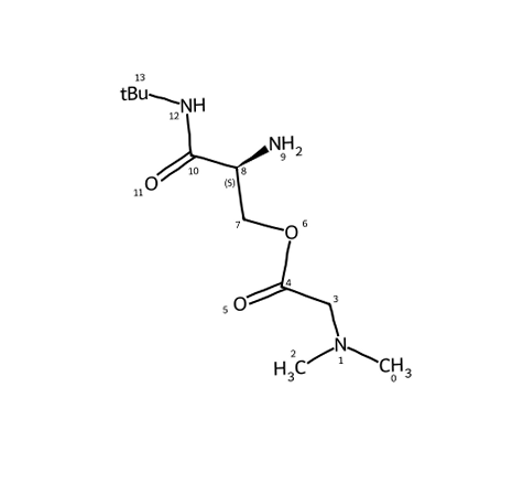 CN(C)CC(=O)OC[C@H](N)C(=O)NC(C)(C)C